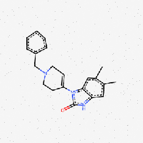 Cc1cc2[nH]c(=O)n(C3=CCN(Cc4ccccc4)CC3)c2cc1C